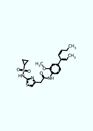 C/C=C(\C=C/CC)c1ccc(NC(=O)Cc2csc(NS(=O)(=O)C3CC3)n2)c(OC)c1